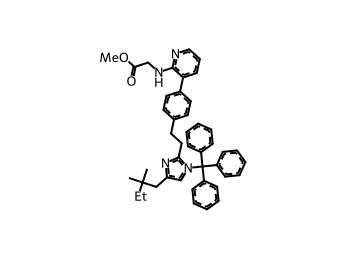 CCC(C)(C)Cc1cn(C(c2ccccc2)(c2ccccc2)c2ccccc2)c(CCc2ccc(-c3cccnc3NCC(=O)OC)cc2)n1